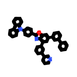 c1ccc(-c2cccc(-c3cc(-c4cccc(-c5cccnc5)c4)c4nc(-c5ccc(-n6c7ccccc7c7ccccc76)cc5)oc4c3)c2)cc1